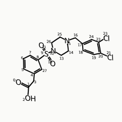 O=C(O)Cc1cccc(S(=O)(=O)N2CCN(Cc3ccc(Cl)c(Cl)c3)CC2)c1